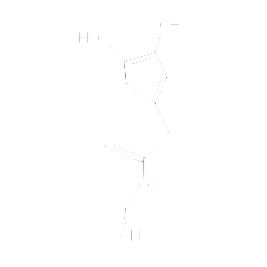 CCOC(=O)CC1=CC(C)=C(C)C1